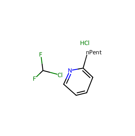 CCCCCc1ccccn1.Cl.FC(F)Cl